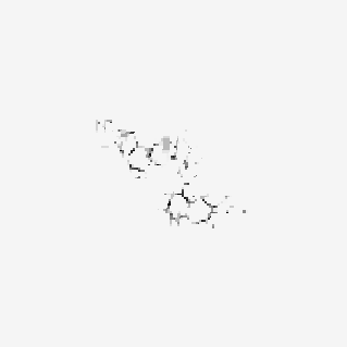 Cc1c(C[C@@H]2NCCC23CCN(c2ccnc4ccc(CC(F)(F)F)cc24)C3)ccc2[nH]c(C#N)cc12